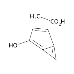 CC(=O)O.Oc1ccc2cc1-2